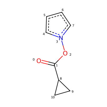 O=C(On1cccc1)C1CC1